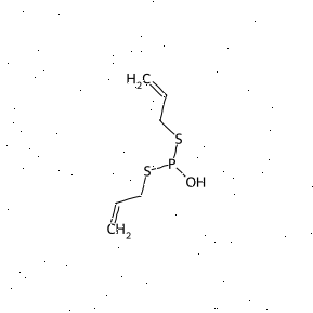 C=CCSP(O)SCC=C